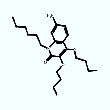 CCCCCCn1c(=O)c(OCCCC)c(OCCCC)c2ccc(N)cc21